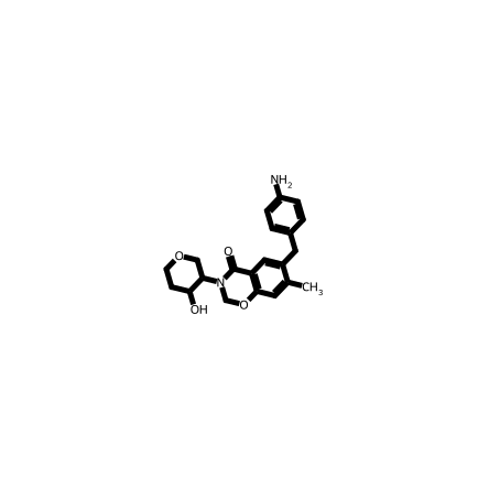 Cc1cc2c(cc1Cc1ccc(N)cc1)C(=O)N(C1COCCC1O)CO2